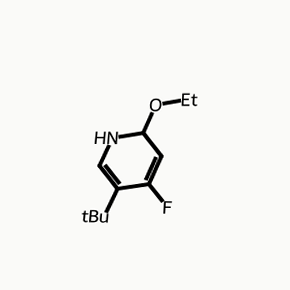 CCOC1C=C(F)C(C(C)(C)C)=CN1